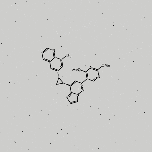 COc1ncc(-c2cc([C@H]3C[C@@H]3c3cc(C(F)(F)F)c4ncccc4c3)c3nccn3n2)c(OC)n1